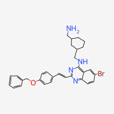 NCC1CCCC(CNc2nc(/C=C/c3ccc(OCc4ccccc4)cc3)nc3ccc(Br)cc23)C1